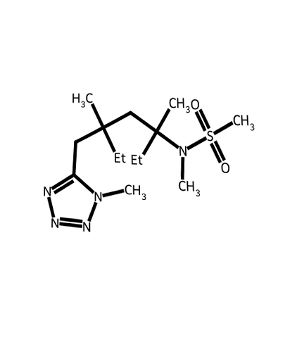 CCC(C)(Cc1nnnn1C)CC(C)(CC)N(C)S(C)(=O)=O